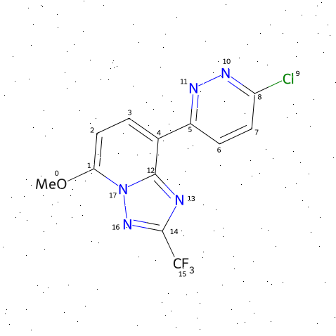 COc1ccc(-c2ccc(Cl)nn2)c2nc(C(F)(F)F)nn12